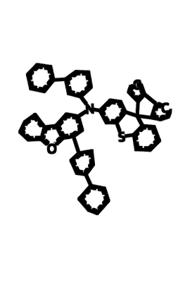 c1ccc(-c2ccc(-c3cc(N(c4cccc(-c5ccccc5)c4)c4ccc5c(c4)Sc4ccccc4C54c5ccccc5-c5ccccc54)cc4c3oc3ccccc34)cc2)cc1